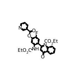 CCOC(=O)Nc1cc(OC(=O)c2cccnc2)c(F)cc1-c1cc(=O)c2ccccc2n1C(=O)OCC